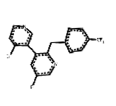 CCc1ccncc1-c1cc(F)cnc1Cc1ccc(C(F)(F)F)cc1